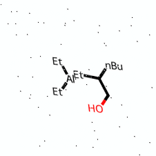 CCCCC(CC)CO.C[CH2][Al][CH2]C